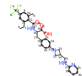 CCc1cc(C(F)(F)F)cc(C)c1C(=O)NC(Cc1ccc(N2CC(CNc3ccccn3)C2)cc1)C(=O)O